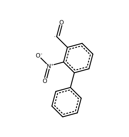 O=[C]c1cccc(-c2ccccc2)c1[N+](=O)[O-]